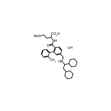 CSCCC(NC(=O)c1ccc(CNC(CC2CCCCC2)C2CCCCC2)cc1-c1ccccc1C)C(=O)O.[LiH]